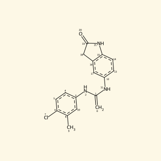 C=C(Nc1ccc(Cl)c(C)c1)Nc1ccc2c(c1)CC(=O)N2